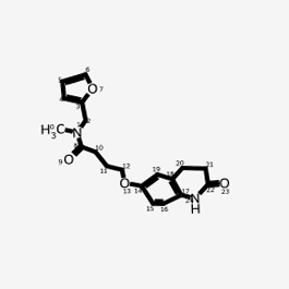 CN(Cc1ccco1)C(=O)CCCOc1ccc2c(c1)CCC(=O)N2